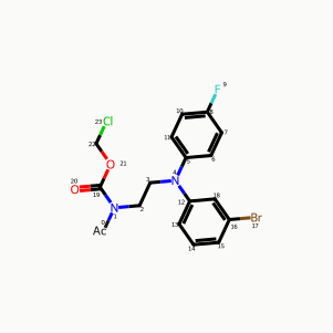 CC(=O)N(CCN(c1ccc(F)cc1)c1cccc(Br)c1)C(=O)OCCl